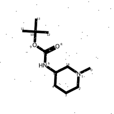 CN1CCCC(NC(=O)OC(C)(C)C)C1